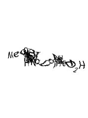 COC(=O)N[C@H](C(=O)N1CCC[C@H]1c1nc2cc(-c3ccc4ccc(-c5c[nH]c([C@@H]6CCCN6C(=O)[C@@H](NC(=O)O)C(C)C)n5)cc4c3)ccc2[nH]1)C(C)C